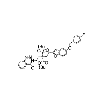 CC(C)(C)OC(=O)C(CCn1nnc2ccccc2c1=O)(CC(=O)c1cc2cc(OCc3ccc(F)cc3)ccc2o1)C(=O)OC(C)(C)C